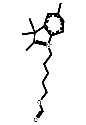 CC1=[N+](CCCCCOC=O)c2ccc(C)cc2C1(C)C